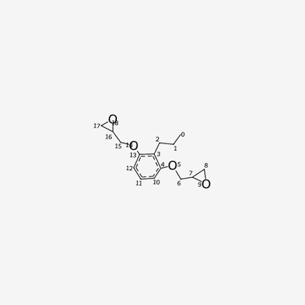 CCCc1c(OCC2CO2)cccc1OCC1CO1